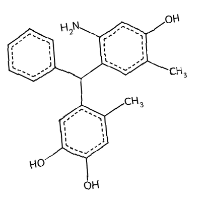 Cc1cc(C(c2ccccc2)c2cc(O)c(O)cc2C)c(N)cc1O